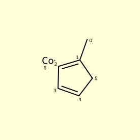 CC1=CC=CC1.[Co]